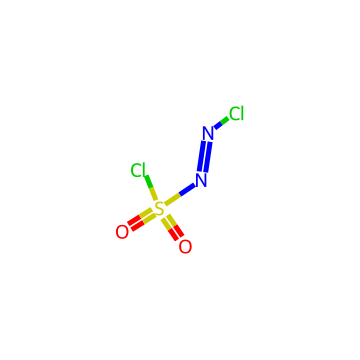 O=S(=O)(Cl)N=NCl